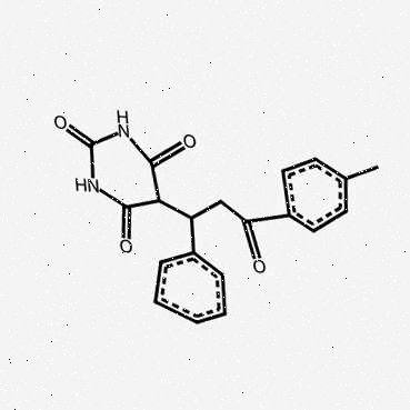 Cc1ccc(C(=O)CC(c2ccccc2)C2C(=O)NC(=O)NC2=O)cc1